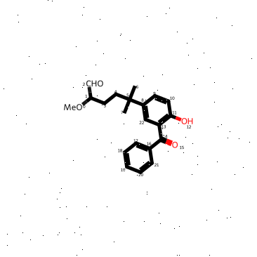 COC(C=O)CCC(C)(C)c1ccc(O)c(C(=O)c2ccccc2)c1